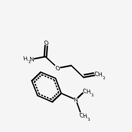 C=CCOC(N)=O.CN(C)c1ccccc1